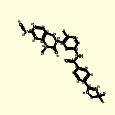 Cc1ncc(NC(=O)c2ccc(C3=NC(C)(C)CO3)cc2)cc1N1Cc2cnc([S+]=O)nc2N(C)C1=O